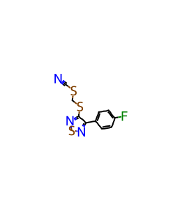 N#CSCSc1nsnc1-c1ccc(F)cc1